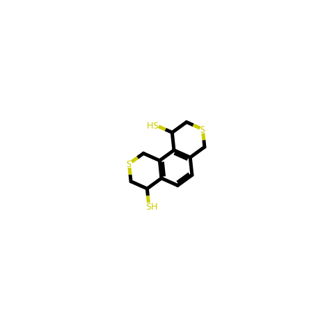 SC1CSCc2c1ccc1c2C(S)CSC1